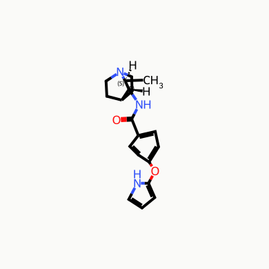 C[C@H]1[C@H](NC(=O)c2ccc(Oc3ccc[nH]3)cc2)C2CCN1CC2